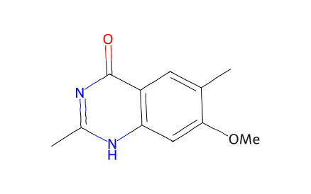 COc1cc2[nH]c(C)nc(=O)c2cc1C